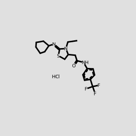 CCN1C(=NC2CCCCC2)SCC1CC(=O)Nc1ccc(C(F)(F)F)cc1.Cl